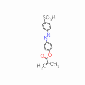 C=C(C)C(=O)Oc1ccc(N=Nc2ccc(S(=O)(=O)O)cc2)cc1